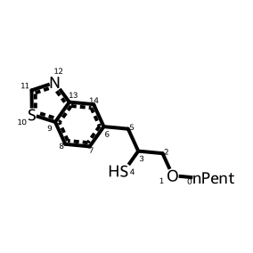 CCCCCOCC(S)Cc1ccc2scnc2c1